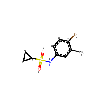 [C-]#[N+]c1cc(NS(=O)(=O)C2CC2)ccc1Br